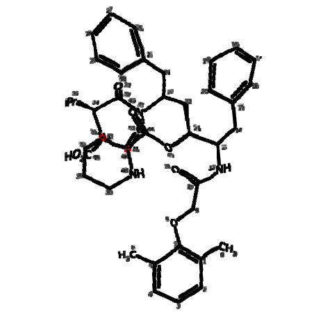 Cc1cccc(C)c1OCC(=O)NC(Cc1ccccc1)[C@H](CC(Cc1ccccc1)NC(=O)[C@H](C(C)C)N1CCCNC1=O)OC(=O)CCC(=O)O